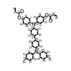 C=CC(=O)Oc1ccc(N(c2ccc(OC(=O)C=C)cc2)c2ccc(-c3ccc(N(c4ccc(C)cc4)c4ccc(C)cc4)cc3)cc2)cc1